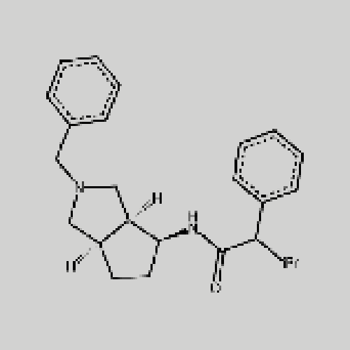 CC(C)C(C(=O)N[C@H]1CC[C@H]2CN(Cc3ccccc3)C[C@H]21)c1ccccc1